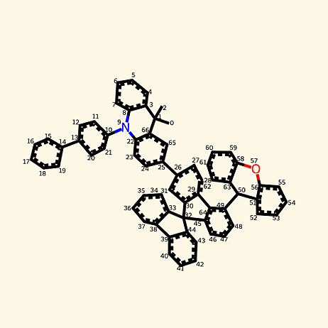 CC1(C)c2ccccc2N(c2ccc(-c3ccccc3)cc2)c2ccc(-c3ccc4c(c3)C3(c5ccccc5-c5ccccc53)c3cccc(C5c6ccccc6Oc6ccccc65)c3-4)cc21